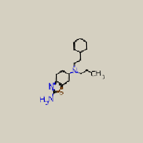 CCCN(CCC1CCCCC1)C1CCc2nc(N)sc2C1